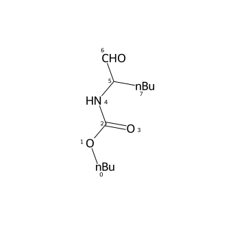 CCCCOC(=O)NC(C=O)CCCC